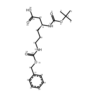 CC(C)(C)OC(=O)N[C@@H](CCCNC(=O)OCc1ccccc1)CC(=O)O